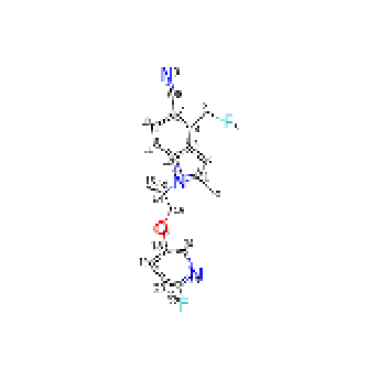 Cc1cc2c(CF)c(C#N)ccc2n1[C@H](C)COc1ccc(F)nc1